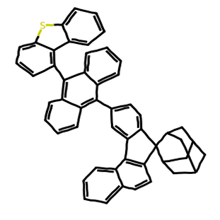 c1ccc2c3c(ccc2c1)C1(c2ccc(-c4c5ccccc5c(-c5cccc6sc7ccccc7c56)c5ccccc45)cc2-3)C2CC3CC(C2)CC1C3